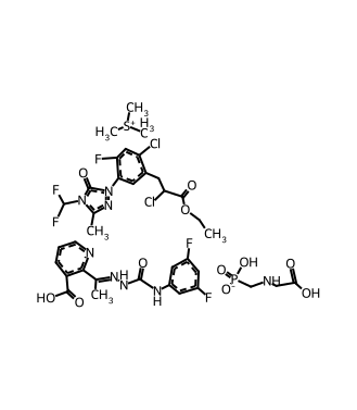 C/C(=N\NC(=O)Nc1cc(F)cc(F)c1)c1ncccc1C(=O)O.CCOC(=O)C(Cl)Cc1cc(-n2nc(C)n(C(F)F)c2=O)c(F)cc1Cl.C[S+](C)C.O=C(O)CNCP(=O)([O-])O